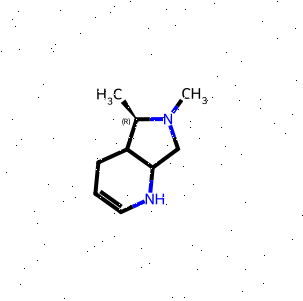 C[C@@H]1C2CC=CNC2CN1C